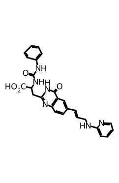 O=C(Nc1ccccc1)NC(Cc1nc2ccc(C=CCNc3ccccn3)cc2c(=O)[nH]1)C(=O)O